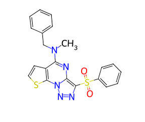 CN(Cc1ccccc1)c1nc2c(S(=O)(=O)c3ccccc3)nnn2c2sccc12